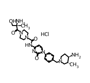 C[C@@H]1CN(Cc2ccc(-n3ccc(NC(=O)N4CCN(C(=O)[C@@](C)(N)CO)CC4)nc3=O)cc2)CC[C@H]1N.Cl